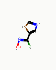 ON=C(Cl)c1cncs1